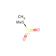 C.CS[SH](=O)=O